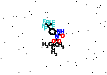 CC(C)(C)OC(=O)n1c(=O)[nH]c2cc(C(F)(C(F)(F)F)C(F)(F)F)ccc21